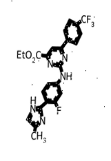 CCOC(=O)c1cc(-c2ccc(C(F)(F)F)cc2)nc(Nc2ccc(-c3nc(C)c[nH]3)c(F)c2)n1